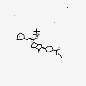 CCOC(=O)C1CCC(=C2CC3C(CC[C@@H]3/C(=C\CC3CCCCC3)O[Si](C)(C)C(C)(C)C)C2=O)CC1